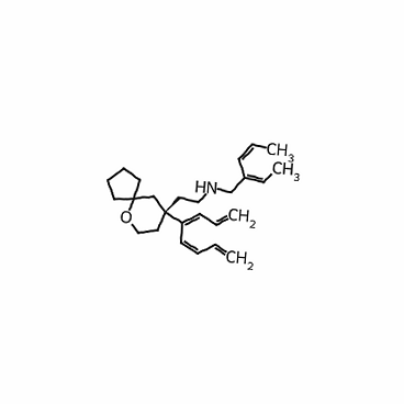 C=C/C=C\C(=C/C=C)[C@]1(CCNCC(/C=C\C)=C/C)CCOC2(CCCC2)C1